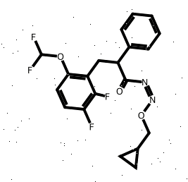 O=C(/N=N\OCC1CC1)C(Cc1c(OC(F)F)ccc(F)c1F)c1ccccc1